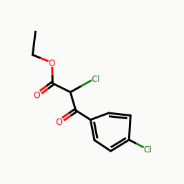 CCOC(=O)C(Cl)C(=O)c1ccc(Cl)cc1